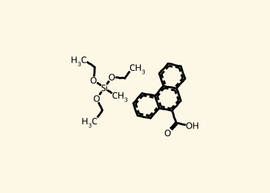 CCO[Si](C)(OCC)OCC.O=C(O)c1cc2ccccc2c2ccccc12